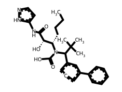 CCCC[C@@H]([C@H](O)C(=O)Nc1ccn[nH]1)N(C(=O)O)C(c1cccc(-c2ccccc2)c1)C(C)(C)C